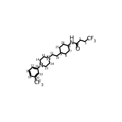 O=C(CCC(F)(F)F)NC1CCC(CCN2CCN(c3cccc(C(F)(F)F)c3)CC2)CC1